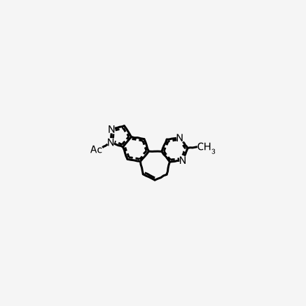 CC(=O)n1ncc2cc3c(cc21)C=CCc1nc(C)ncc1-3